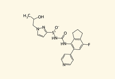 CC(O)Cn1ccc([S+]([O-])NC(=O)Nc2c(-c3ccncc3)cc(F)c3c2CCC3)n1